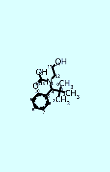 CC(C)(C)C(c1ccccc1)N(CCO)C(=O)O